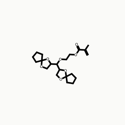 C=C(C)C(=O)OCCOC(C1COC2(CCCC2)O1)C1COC2(CCCC2)O1